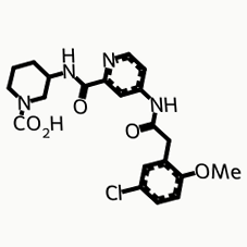 COc1ccc(Cl)cc1CC(=O)Nc1ccnc(C(=O)NC2CCCN(C(=O)O)C2)c1